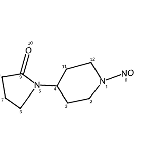 O=NN1CCC(N2CCCC2=O)CC1